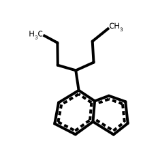 CCCC(CCC)c1cccc2ccccc12